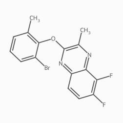 Cc1cccc(Br)c1Oc1nc2ccc(F)c(F)c2nc1C